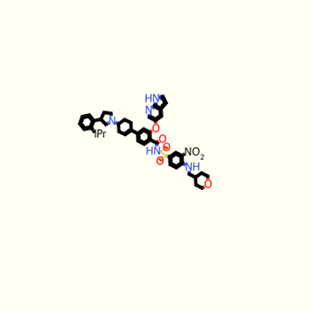 CC(C)c1ccccc1C1CCN(C2CC=C(c3ccc(C(=O)NS(=O)(=O)c4ccc(NCC5CCOCC5)c([N+](=O)[O-])c4)c(Oc4cnc5[nH]ccc5c4)c3)CC2)C1